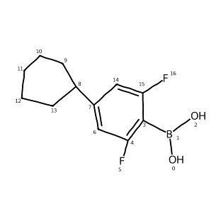 OB(O)c1c(F)cc(C2CCCCC2)cc1F